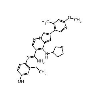 CCc1cc(O)ccc1/N=C(\N)c1cnn2cc(-c3cnc(OC)cc3C)cc2c1NC1CCSC1